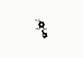 Cc1ccc(NCc2cccs2)c(O)c1